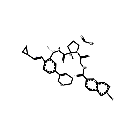 C[C@H](NC(=O)[C@]1(C)CCCN1C(=O)CNC(=O)c1ccc2cc(F)ccc2n1)c1cc(C2=CCCNC2)ccc1/C=C/C1CC1.O=CO